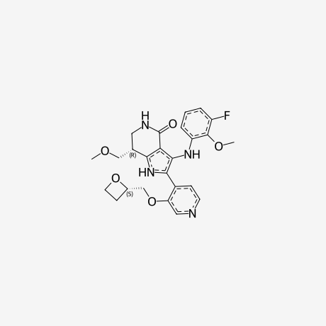 COC[C@@H]1CNC(=O)c2c1[nH]c(-c1ccncc1OC[C@@H]1CCO1)c2Nc1cccc(F)c1OC